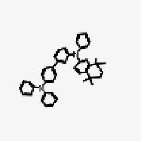 CC1(C)CCC(C)(C)c2cc(N(c3ccccc3)c3cccc(-c4ccc(N(c5ccccc5)c5ccccc5)cc4)c3)ccc21